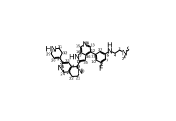 CN(C)CCNc1cc(F)cc(-c2cncc3[nH]c(C4=NCCc5cnc(C6=CCNCC6)cc54)cc23)c1